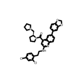 O=C(c1cc(NCCc2ccc(Cl)cc2Cl)nc2ccc(-c3ccc4c(c3)OCO4)cc12)N1CCC[C@H]1CN1CCCC1